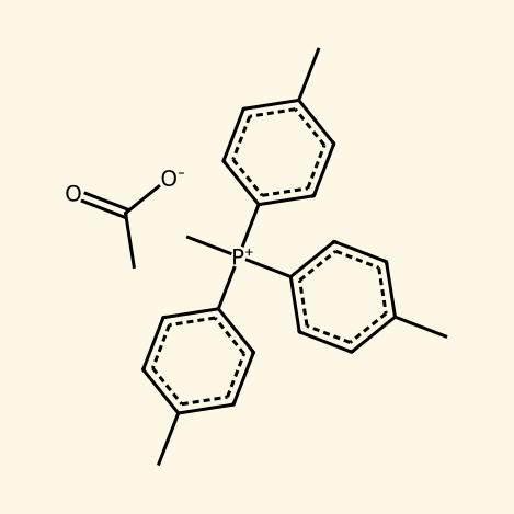 CC(=O)[O-].Cc1ccc([P+](C)(c2ccc(C)cc2)c2ccc(C)cc2)cc1